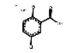 O=C(O)c1cc(Cl)ccc1Br.[H-].[Na+]